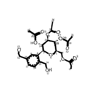 CC(=O)OC[C@H]1O[C@@H](c2cc(CCl)ccc2CO)[C@H](OC(C)=O)[C@@H](OC(C)=O)[C@@H]1OC(C)=O